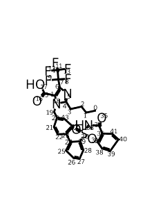 CCCCc1nc(C(F)(F)C(F)(F)F)c(C(=O)O)n1Cc1ccc(-c2ccccc2S(=O)(=O)NC(=O)c2ccccc2)cc1